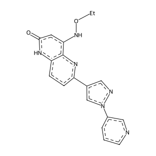 CCONc1cc(=O)[nH]c2ccc(-c3cnn(-c4cccnc4)c3)nc12